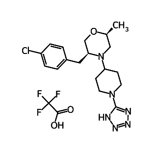 C[C@H]1CN(C2CCN(c3nnn[nH]3)CC2)[C@@H](Cc2ccc(Cl)cc2)CO1.O=C(O)C(F)(F)F